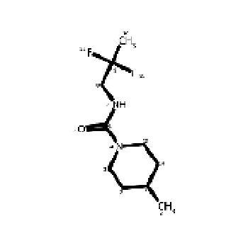 CC1CCN(C(=O)NCC(C)(F)F)CC1